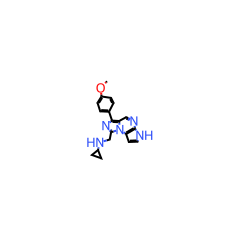 COc1ccc(-c2nc(CNC3CC3)n3c2cnc2[nH]ccc23)cc1